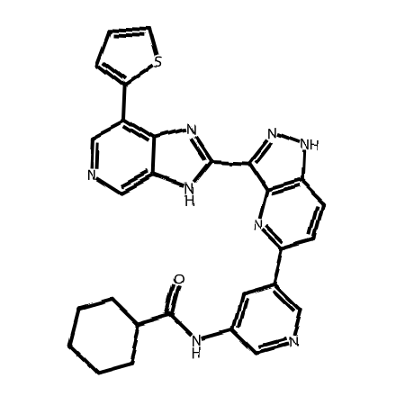 O=C(Nc1cncc(-c2ccc3[nH]nc(-c4nc5c(-c6cccs6)cncc5[nH]4)c3n2)c1)C1CCCCC1